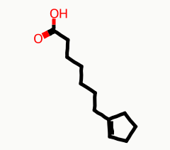 O=C(O)CCCCCCC1=CCCC1